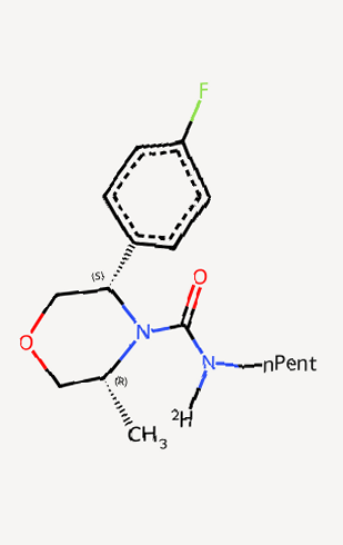 [2H]N(CCCCC)C(=O)N1[C@H](C)COC[C@@H]1c1ccc(F)cc1